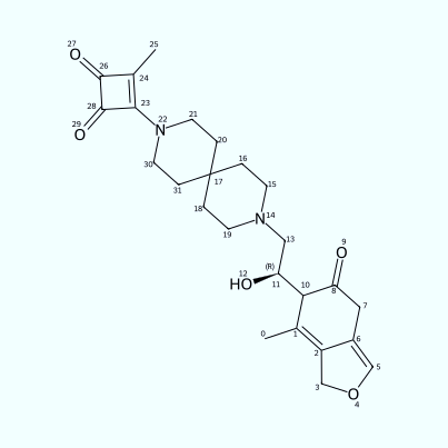 CC1=C2COC=C2CC(=O)C1[C@@H](O)CN1CCC2(CC1)CCN(c1c(C)c(=O)c1=O)CC2